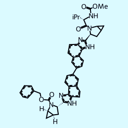 COC(=O)N[C@H](C(=O)N1C2CC2C[C@H]1c1nc2ccc3cc(-c4ccc5c(ccc6[nH]c([C@@H]7C[C@H]8C[C@H]8N7C(=O)OCc7ccccc7)nc65)c4)ccc3c2[nH]1)C(C)C